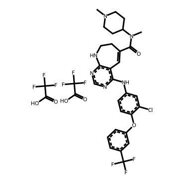 CN1CCC(N(C)C(=O)C2=Cc3c(ncnc3Nc3ccc(Oc4cccc(C(F)(F)F)c4)c(Cl)c3)NCC2)CC1.O=C(O)C(F)(F)F.O=C(O)C(F)(F)F